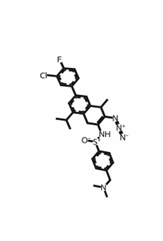 CC(C)c1cc(-c2ccc(F)c(Cl)c2)cc2c1CC(N[S+]([O-])c1ccc(CN(C)C)cc1)=C(N=[N+]=[N-])C2C